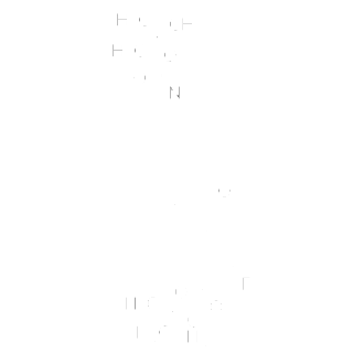 CC(C)(C)OC(=O)c1cc(C2CC2)c(COCC2CC3(CCN(C(=O)OC(C)(C)C)CC3)C2)cc1F